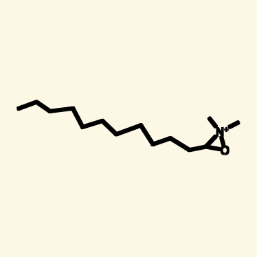 CCCCCCCCCCCC1O[N+]1(C)C